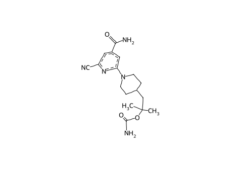 CC(C)(CC1CCN(c2cc(C(N)=O)cc(C#N)n2)CC1)OC(N)=O